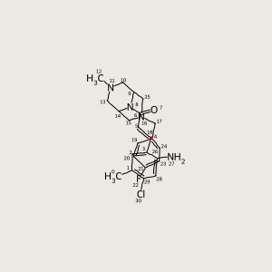 Cc1cc(C=CC(=O)N2C3CN(C)CC2CN(Cc2ccc(F)cc2)C3)c(N)cc1Cl